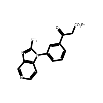 CCOC(=O)CC(=O)c1cccc(-n2c(C(F)(F)F)nc3cnccc32)c1